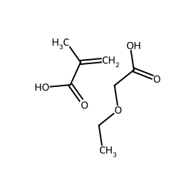 C=C(C)C(=O)O.CCOCC(=O)O